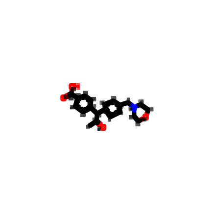 CC(=O)C(c1ccc(CN2CCOCC2)cc1)c1ccc(C(=O)O)cc1